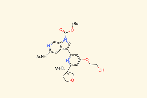 CO[C@@]1(c2cc(OCCO)cc(-c3cn(C(=O)OC(C)(C)C)c4cnc(NC(C)=O)cc34)n2)CCOC1